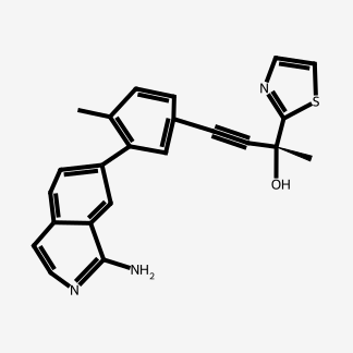 Cc1ccc(C#C[C@@](C)(O)c2nccs2)cc1-c1ccc2ccnc(N)c2c1